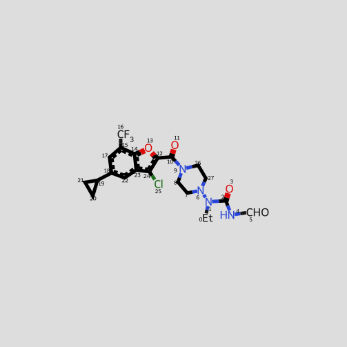 CCN(C(=O)NC=O)N1CCN(C(=O)c2oc3c(C(F)(F)F)cc(C4CC4)cc3c2Cl)CC1